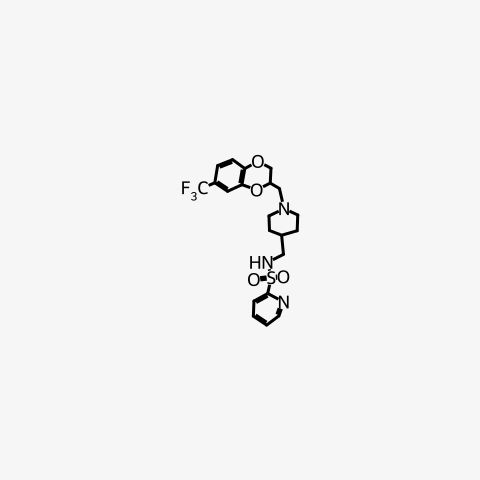 O=S(=O)(NCC1CCN(CC2COc3ccc(C(F)(F)F)cc3O2)CC1)c1ccccn1